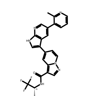 Cc1ncccc1-c1cnc2[nH]cc(-c3ccn4ncc(C(=O)N[C@H](C)C(F)(F)F)c4c3)c2c1